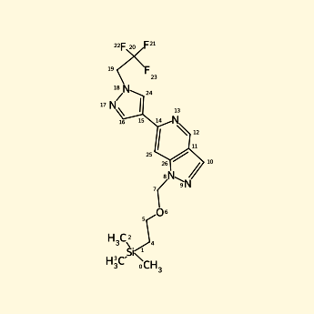 C[Si](C)(C)CCOCn1ncc2cnc(-c3cnn(CC(F)(F)F)c3)cc21